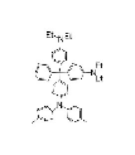 CCN(CC)c1ccc(C(c2ccccc2)(c2ccc(N(CC)CC)cc2)c2ccc(N(c3ccc(C)cc3)c3ccc(C)cc3)cc2)cc1